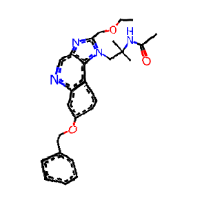 CCOCc1nc2cnc3cc(OCc4ccccc4)ccc3c2n1CC(C)(C)NC(C)=O